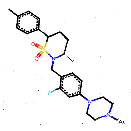 CC(=O)N1CCN(c2ccc(CN3[C@@H](C)CCC(c4ccc(C)cc4)S3(=O)=O)c(F)c2)CC1